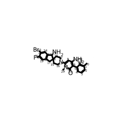 Cc1cccc(-c2c(N)cc(N3CCC4(CC3)Cc3cc(F)c(Br)cc3[C@H]4N)n(C)c2=O)c1Cl